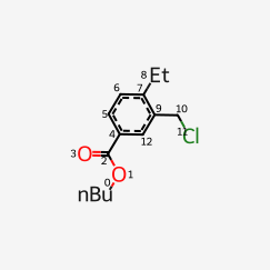 CCCCOC(=O)c1ccc(CC)c(CCl)c1